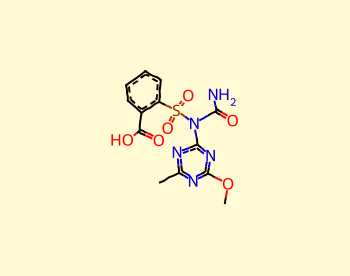 COc1nc(C)nc(N(C(N)=O)S(=O)(=O)c2ccccc2C(=O)O)n1